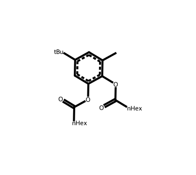 CCCCCCC(=O)Oc1cc(C(C)(C)C)cc(C)c1OC(=O)CCCCCC